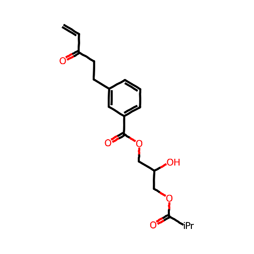 C=CC(=O)CCc1cccc(C(=O)OCC(O)COC(=O)C(C)C)c1